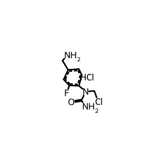 Cl.NCc1ccc(N(CCl)C(N)=O)c(F)c1